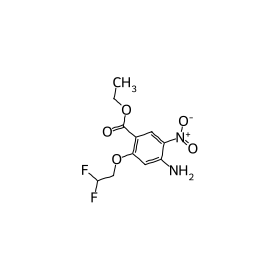 CCOC(=O)c1cc([N+](=O)[O-])c(N)cc1OCC(F)F